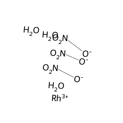 O.O.O.O=[N+]([O-])[O-].O=[N+]([O-])[O-].O=[N+]([O-])[O-].[Rh+3]